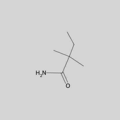 CCC(C)(C)C(N)=O